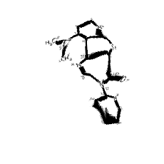 CN(C)c1ccnc2sc3c(=O)n(-c4ccccn4)cnc3c12